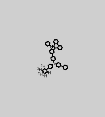 [2H]c1c([2H])c([2H])c(-c2ccc(N(c3ccc(-c4ccccc4)cc3)c3ccc(-c4ccc5c(c4)c4c6ccccc6c6ccccc6c4n5-c4ccccc4)cc3)cc2)c([2H])c1[2H]